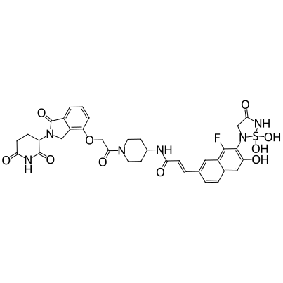 O=C(C=Cc1ccc2cc(O)c(N3CC(=O)NS3(O)O)c(F)c2c1)NC1CCN(C(=O)COc2cccc3c2CN(C2CCC(=O)NC2=O)C3=O)CC1